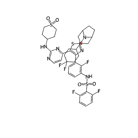 O=S1(=O)CCC(Nc2nccc(-c3sc(N4C5CCC4CN(C4CCC(F)(F)CC4)C5)nc3-c3cccc(NS(=O)(=O)c4c(F)cccc4F)c3F)n2)CC1